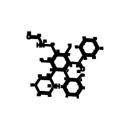 Cc1ccccc1-c1c(C(=O)c2ccccc2)c(C)c(CNC=O)c(C)c1C1=CCC=CN1